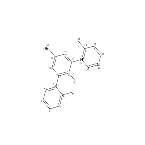 Cc1c(-[n+]2ccccc2C)cc(C(C)(C)C)cc1-[n+]1cnccc1C